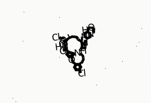 CO[C@@]1(CN2CCN3CCOC[C@@H]3C2)/C=C/C[C@H](C)[C@@H](CCCl)S(=O)(=O)NC(=O)c2ccc3c(c2)N(CCCCc2cc(Cl)ccc2CO3)C[C@@H]2CC[C@H]21